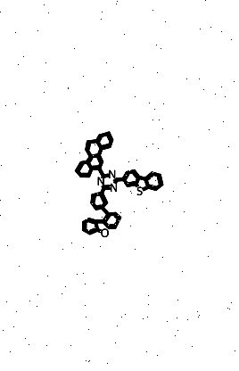 c1cc(-c2nc(-c3ccc4c(c3)sc3ccccc34)nc(-c3cc4c5ccccc5ccc4c4ccccc34)n2)cc(-c2cccc3oc4ccccc4c23)c1